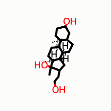 CC1(O)C(CCO)C[C@H]2[C@@H]3CCC4CC(O)CC[C@]4(C)[C@@H]3CC[C@@]21C